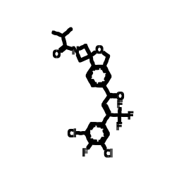 CC(C)C(=O)N1CC2(C1)OCc1cc(C(=O)C=C(c3cc(Cl)c(F)c(Cl)c3)C(F)(F)F)ccc12